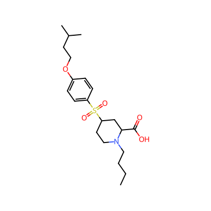 CCCCN1CCC(S(=O)(=O)c2ccc(OCCC(C)C)cc2)CC1C(=O)O